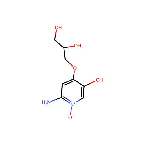 Nc1cc(OCC(O)CO)c(O)c[n+]1[O-]